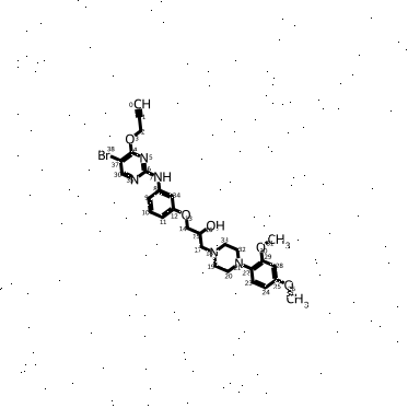 C#CCOc1nc(Nc2cccc(OCC(O)CN3CCN(c4ccc(OC)cc4OC)CC3)c2)ncc1Br